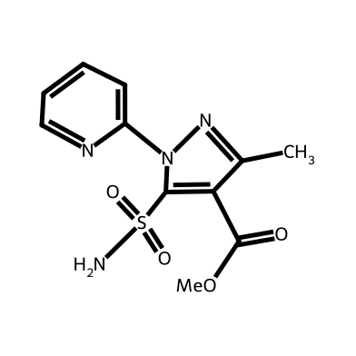 COC(=O)c1c(C)nn(-c2ccccn2)c1S(N)(=O)=O